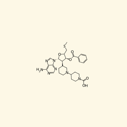 CSCC1O[C@@H](n2cnc3c(N)ncnc32)[C@H](C2CCCN(C3CCN(C(=O)O)CC3)C2)[C@@H]1OC(=O)c1ccccc1